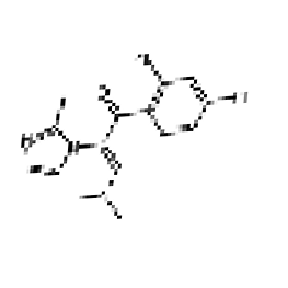 Cc1nccn1C(=CN(C)C)C(=O)c1ccc(Cl)cc1Cl